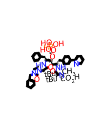 CN(C(=O)O)[C@H](C(=O)N[C@@H](Cc1ccc(-c2ccccn2)cc1)C[C@H](OCO[PH](O)(O)O)[C@H](Cc1ccccc1)NC(=O)[C@@H](N1CCN(Cc2ccccc2)C1=O)C(C)(C)C)C(C)(C)C